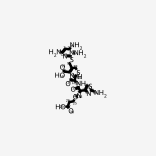 NC1=CC(N)N(N)C(SCC2=C(C(=O)O)N3C(=O)C(NC(=O)/C(=N\OCCC(=O)O)c4csc(N)n4)[C@@H]3SC2)=N1